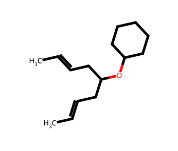 CC=CCC(CC=CC)OC1CCCCC1